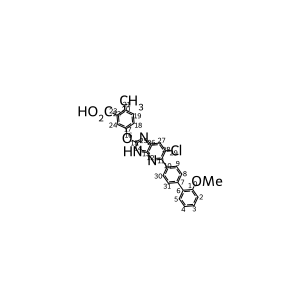 COc1ccccc1-c1ccc(-c2nc3[nH]c(Oc4ccc(C)c(C(=O)O)c4)nc3cc2Cl)cc1